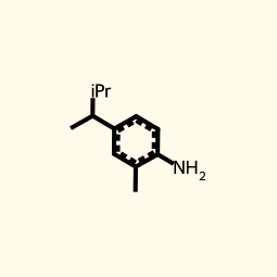 Cc1cc(C(C)C(C)C)ccc1N